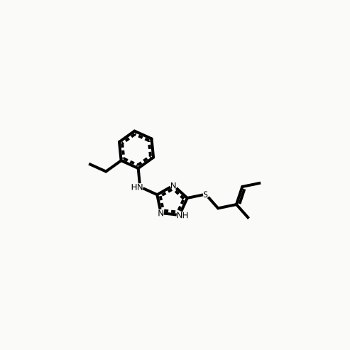 CC=C(C)CSc1nc(Nc2ccccc2CC)n[nH]1